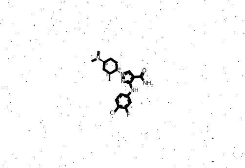 C[C@H]1C[C@@H](N(C)C)CC[C@@H]1n1cc(C(N)=O)c(Nc2ccc(Cl)c(F)c2)n1